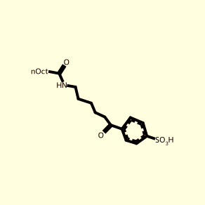 CCCCCCCCC(=O)NCCCCCC(=O)c1ccc(S(=O)(=O)O)cc1